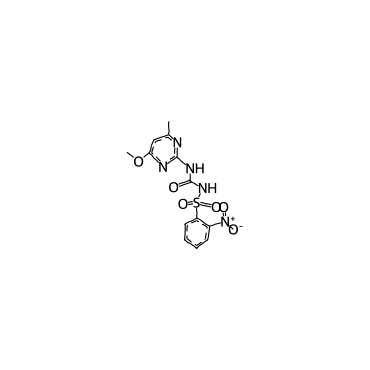 COc1cc(C)nc(NC(=O)NS(=O)(=O)c2ccccc2[N+](=O)[O-])n1